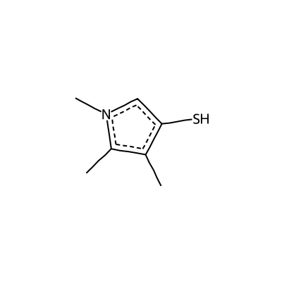 Cc1c(S)cn(C)c1C